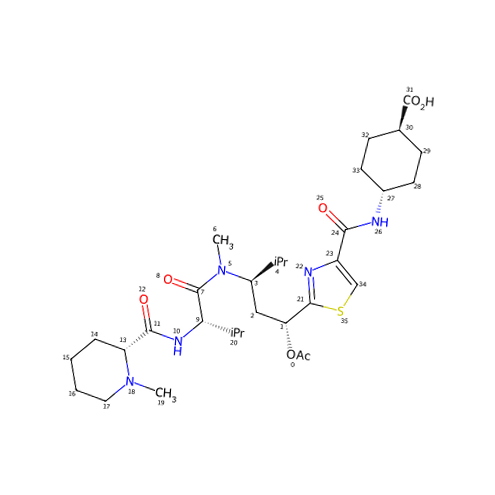 CC(=O)O[C@H](C[C@H](C(C)C)N(C)C(=O)[C@@H](NC(=O)[C@H]1CCCCN1C)C(C)C)c1nc(C(=O)N[C@H]2CC[C@H](C(=O)O)CC2)cs1